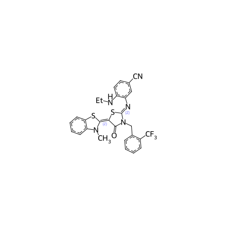 CCNc1ccc(C#N)cc1/N=C1\S/C(=C2\Sc3ccccc3N2C)C(=O)N1Cc1ccccc1C(F)(F)F